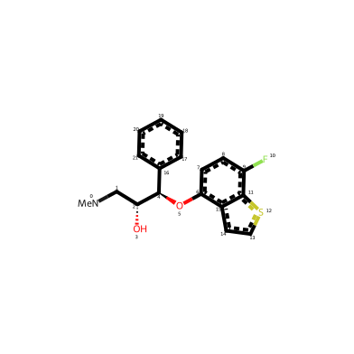 CNC[C@@H](O)[C@H](Oc1ccc(F)c2sccc12)c1ccccc1